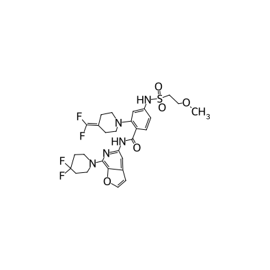 COCCS(=O)(=O)Nc1ccc(C(=O)Nc2cc3ccoc3c(N3CCC(F)(F)CC3)n2)c(N2CCC(=C(F)F)CC2)c1